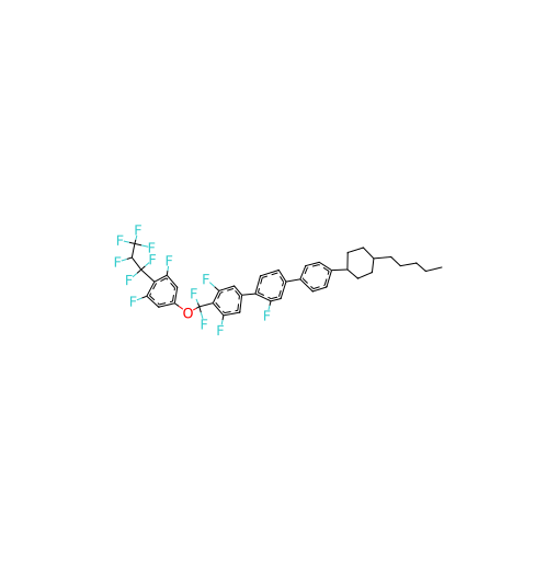 CCCCCC1CCC(c2ccc(-c3ccc(-c4cc(F)c(C(F)(F)Oc5cc(F)c(C(F)(F)C(F)C(F)(F)F)c(F)c5)c(F)c4)c(F)c3)cc2)CC1